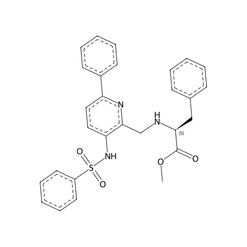 COC(=O)[C@H](Cc1ccccc1)NCc1nc(-c2ccccc2)ccc1NS(=O)(=O)c1ccccc1